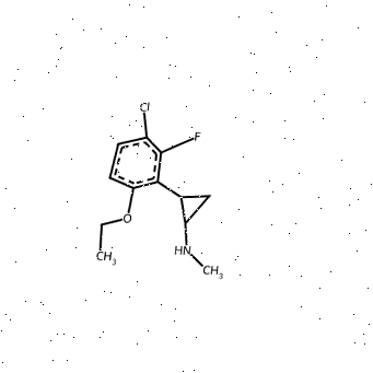 CCOc1ccc(Cl)c(F)c1C1CC1NC